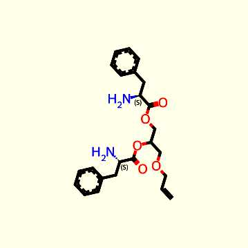 C=CCOCC(COC(=O)[C@@H](N)Cc1ccccc1)OC(=O)[C@@H](N)Cc1ccccc1